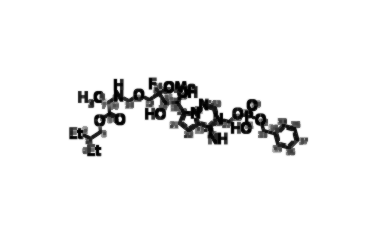 CCC(CC)COC(=O)[C@H](C)NCOCC(F)(OC)[C@@H](O)[C@@H](O)c1ccc2c(=N)n(COP(=O)(O)OCc3ccccc3)cnn12